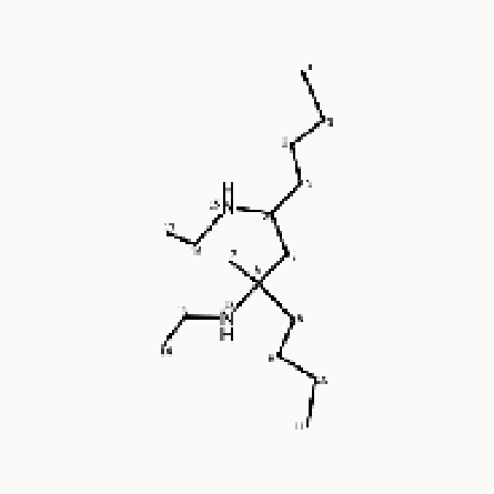 CCCCC(CC(C)(CCCC)NCC)NCC